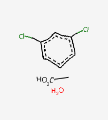 CC(=O)O.Clc1cccc(Cl)c1.O